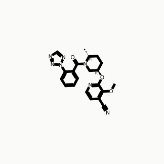 COc1c(C#N)ccnc1O[C@@H]1CC[C@@H](C)N(C(=O)c2ccccc2-n2ncnn2)C1